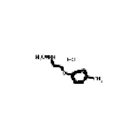 CNCCOc1ccc(C)cc1.Cl